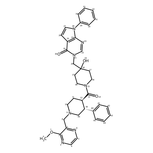 COc1nccnc1CN1CC[C@@H](C(=O)N2CCC(O)(Cn3cnc4c(ccn4-c4ccccc4)c3=O)CC2)[C@H](c2ccccc2)C1